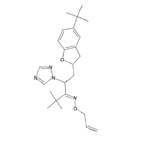 C=CCON=C(C(CC1Cc2cc(C(C)(C)C)ccc2O1)n1cncn1)C(C)(C)C